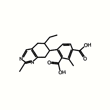 CCC1Cc2cnc(C)nc2CC1c1ccc(C(=O)O)c(C)c1C(=O)O